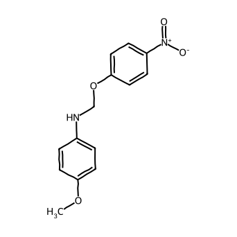 COc1ccc(NCOc2ccc([N+](=O)[O-])cc2)cc1